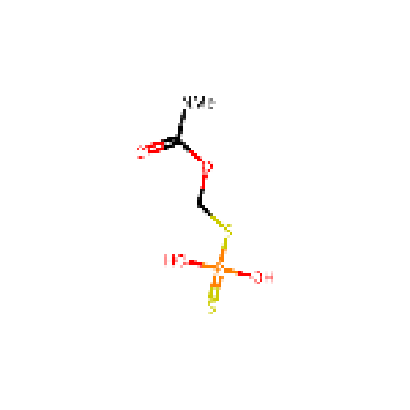 CNC(=O)OCSP(O)(O)=S